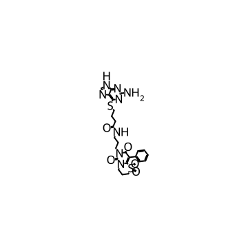 Nc1nc(SCCCC(=O)NCCCn2c(=O)c(-c3ccccc3)c3n(c2=O)CCCS3(=O)=O)c2nc[nH]c2n1